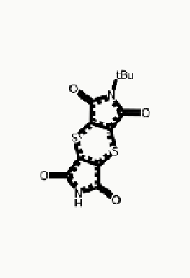 CC(C)(C)n1c(=O)c2sc3c(=O)[nH]c(=O)c3sc2c1=O